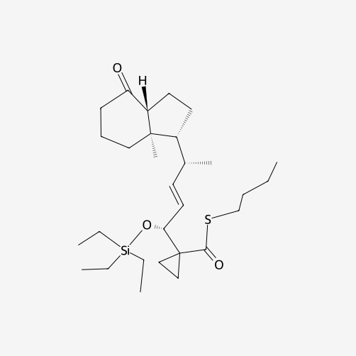 CCCCSC(=O)C1([C@@H](/C=C/[C@@H](C)[C@H]2CC[C@H]3C(=O)CCC[C@]23C)O[Si](CC)(CC)CC)CC1